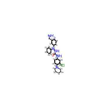 NCc1cccc(N(NC(=O)Nc2ccc(N3CCCCC3)c(Cl)c2)c2ccccc2)c1